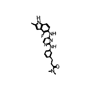 Cc1cc2c(F)c(Nc3ccnc(Nc4cccc(CCC(=O)N(C)C)c4)n3)ccc2[nH]1